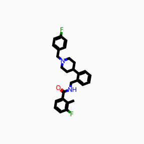 Cc1c(F)cccc1C(=O)NCc1ccccc1C1CCN(Cc2ccc(F)cc2)CC1